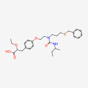 CCOC(Cc1ccc(OCCN(CCCSCc2ccccc2)C(=O)NC(C)CC)cc1)C(=O)O